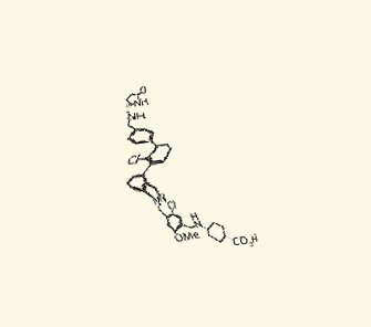 COc1cc(Cn2ncc3c(-c4cccc(-c5ccc(CNC[C@@H]6CCC(=O)N6)cc5)c4Cl)cccc32)c(Cl)cc1CN[C@H]1CC[C@@H](C(=O)O)CC1